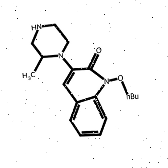 CCCCOn1c(=O)c(N2CCNCC2C)cc2ccccc21